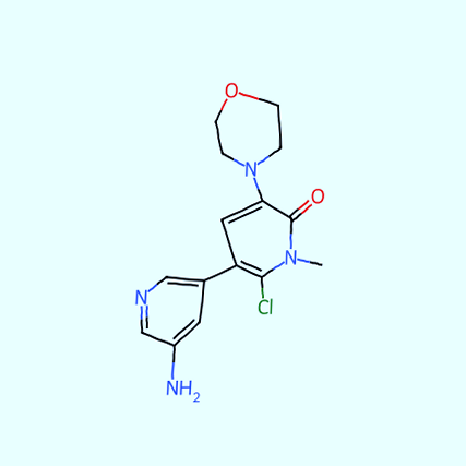 Cn1c(Cl)c(-c2cncc(N)c2)cc(N2CCOCC2)c1=O